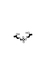 C=C(O)CSOS(=O)(=O)OSCC(=C)O